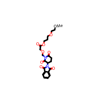 COCCOCCCOC(=O)COCN1C(=O)CCC(N2C(=O)c3ccccc3C2=O)C1=O